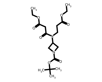 CCOC(=O)CCN(C(=O)CC(=O)OCC)C1CN(C(=O)OC(C)(C)C)C1